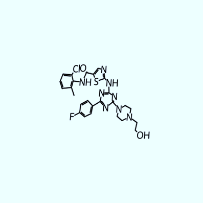 Cc1cccc(Cl)c1NC(=O)c1cnc(Nc2nc(-c3ccc(F)cc3)nc(N3CCN(CCO)CC3)n2)s1